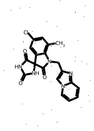 Cc1cc(Cl)cc2c1N(Cc1cn3ccccc3n1)C(=O)C21NC(=O)NC1=O